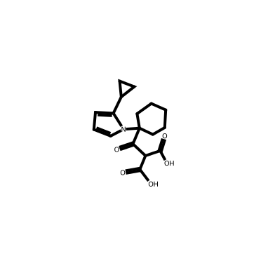 O=C(O)C(C(=O)O)C(=O)C1(n2cccc2C2CC2)CCCCC1